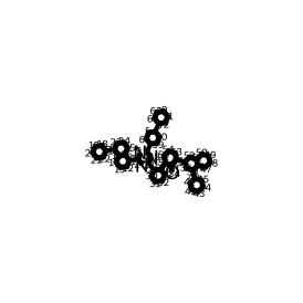 c1ccc(-c2ccc(-c3nc(-c4cccc5c(-c6ccccc6)cccc45)nc(-c4cccc5oc6c(-c7cc(-c8ccccc8)c8ccccc8c7)cccc6c45)n3)cc2)cc1